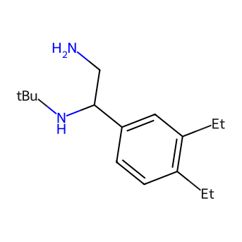 CCc1ccc(C(CN)NC(C)(C)C)cc1CC